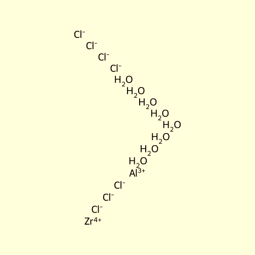 O.O.O.O.O.O.O.O.[Al+3].[Cl-].[Cl-].[Cl-].[Cl-].[Cl-].[Cl-].[Cl-].[Zr+4]